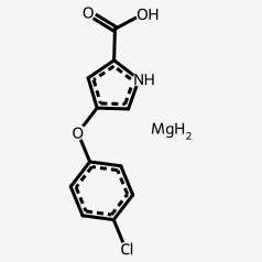 O=C(O)c1cc(Oc2ccc(Cl)cc2)c[nH]1.[MgH2]